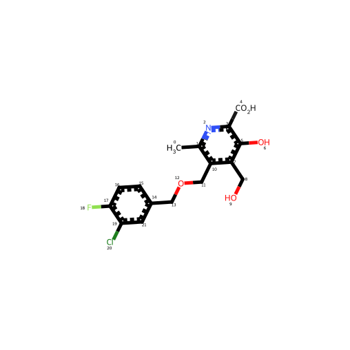 Cc1nc(C(=O)O)c(O)c(CO)c1COCc1ccc(F)c(Cl)c1